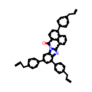 C=CCc1ccc(-c2cc(-c3ccc(CC=C)cc3)c3nc4c5cccc6c(-c7ccc(CC=C)cc7)ccc(c(=O)n4c3c2)c65)cc1